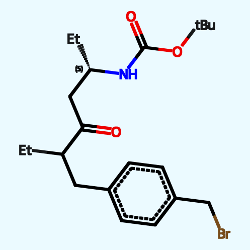 CCC(Cc1ccc(CBr)cc1)C(=O)C[C@H](CC)NC(=O)OC(C)(C)C